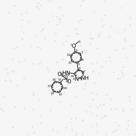 COc1ccc(-c2c[nH]nc2NS(=O)(=O)c2ccccc2)cc1